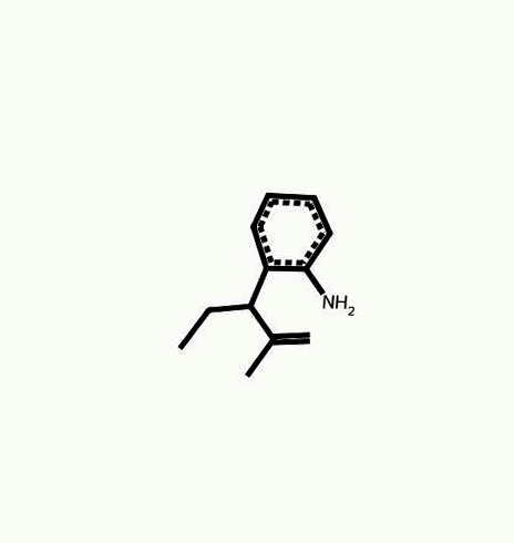 C=C(C)C(CC)c1ccccc1N